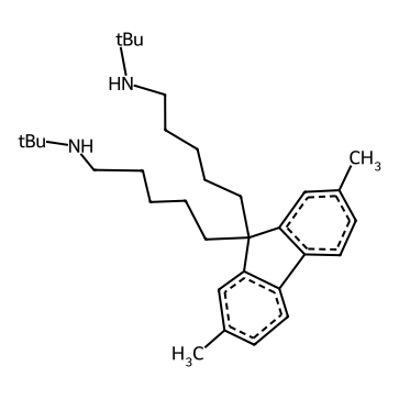 Cc1ccc2c(c1)C(CCCCCNC(C)(C)C)(CCCCCNC(C)(C)C)c1cc(C)ccc1-2